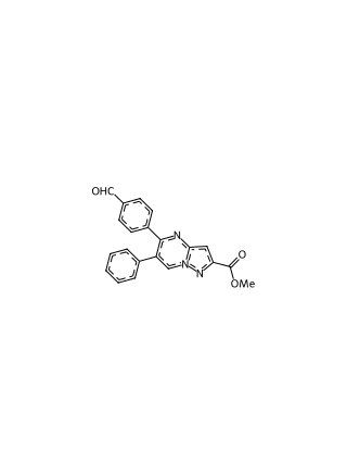 COC(=O)c1cc2nc(-c3ccc(C=O)cc3)c(-c3ccccc3)cn2n1